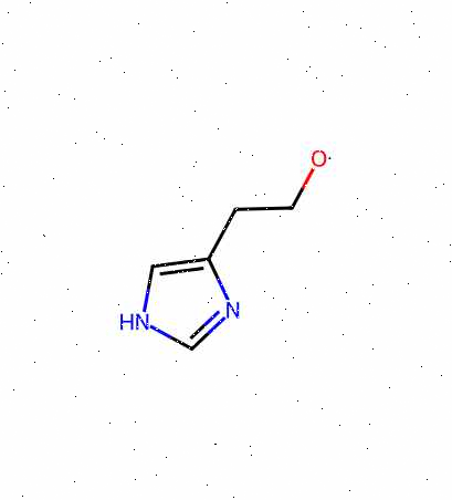 [O]CCc1c[nH]cn1